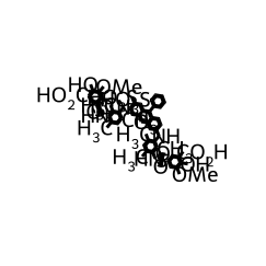 COc1cc(S(=O)(=O)Nc2c(C)cc(C)c(/N=c3\cc4oc5cc(Nc6c(C)cc(C)c(NS(=O)(=O)c7cc(OC)c(O)c(C(=O)O)c7)c6C)ccc5c(-c5ccccc5S(=O)(=O)O)c-4cc3S(=O)(=O)O)c2C)cc(C(=O)O)c1O